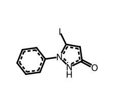 O=c1cc(I)n(-c2ccccc2)[nH]1